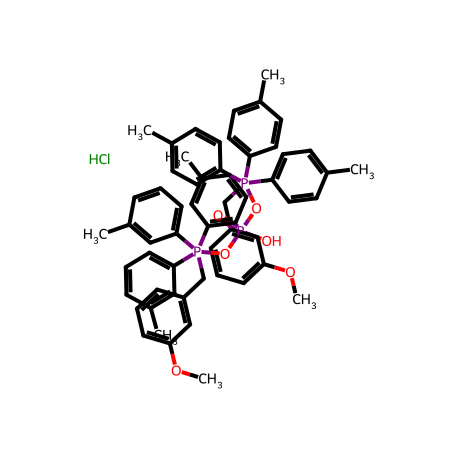 COc1cccc(CP(OP(=O)(O)OP(Cc2cccc(OC)c2)(c2cccc(C)c2)(c2cccc(C)c2)c2cccc(C)c2)(c2ccc(C)cc2)(c2ccc(C)cc2)c2ccc(C)cc2)c1.Cl